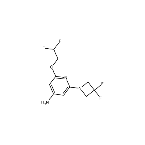 Nc1cc(OCC(F)F)nc(N2CC(F)(F)C2)c1